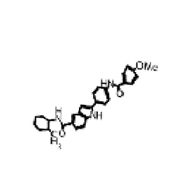 COc1ccc(C(=O)Nc2ccc(-c3cc4cc(C(=O)NC5CCCCC5C)ccc4[nH]3)cc2)cc1